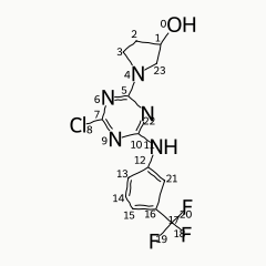 OC1CCN(c2nc(Cl)nc(Nc3cccc(C(F)(F)F)c3)n2)C1